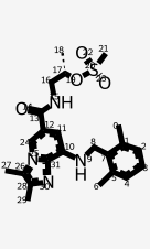 Cc1cccc(C)c1CNc1cc(C(=O)NC[C@H](C)OS(C)(=O)=O)cn2c(C)c(C)nc12